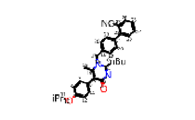 CCCCc1nc(=O)c(-c2ccc(OC(C)C)cc2)c(C)n1Cc1ccc(-c2ccccc2C#N)cc1